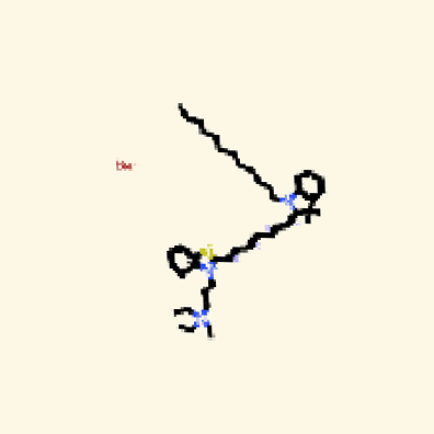 CCCCCCCCCCCCN1\C(=C/C=C/C=C/C=C/c2sc3ccccc3[n+]2CCC[N+](CC)(CC)CC)C(C)(C)c2ccccc21.[Br-].[Br-]